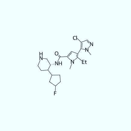 CCc1c(-c2c(Cl)cnn2C)cc(C(=O)N[C@H]2CNCCC2C2CCC(F)C2)n1C